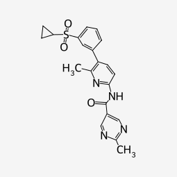 Cc1ncc(C(=O)Nc2ccc(-c3cccc(S(=O)(=O)C4CC4)c3)c(C)n2)cn1